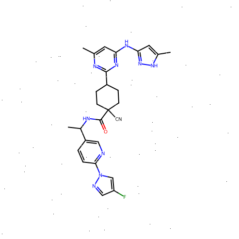 Cc1cc(Nc2cc(C)[nH]n2)nc(C2CCC(C#N)(C(=O)NC(C)c3ccc(-n4cc(F)cn4)nc3)CC2)n1